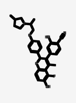 CC1=C(c2ccc(C#N)c(O)c2)C(c2ccc(OCC(C)N3CCC(C)C3)cc2)Oc2ccc(O)c(F)c21